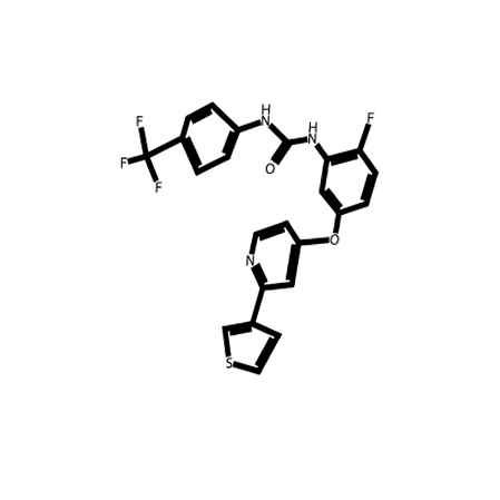 O=C(Nc1ccc(C(F)(F)F)cc1)Nc1cc(Oc2ccnc(-c3ccsc3)c2)ccc1F